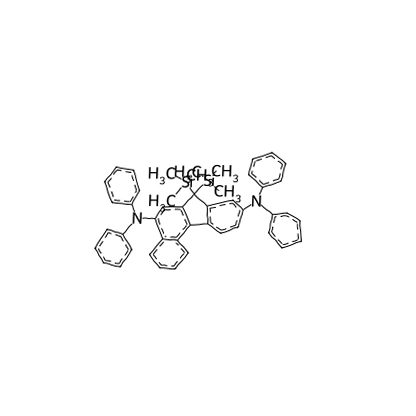 C[Si](C)(C)C1([Si](C)(C)C)c2cc(N(c3ccccc3)c3ccccc3)ccc2-c2c1cc(N(c1ccccc1)c1ccccc1)c1ccccc21